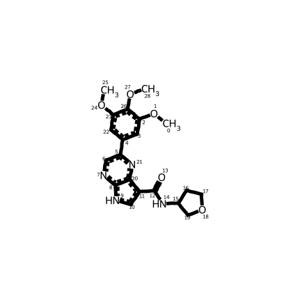 COc1cc(-c2cnc3[nH]cc(C(=O)NC4CCOC4)c3n2)cc(OC)c1OC